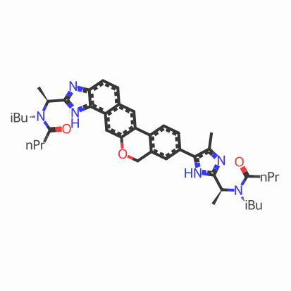 CCCC(=O)N([C@@H](C)CC)[C@@H](C)c1nc(C)c(-c2ccc3c(c2)COc2cc4c(ccc5nc([C@H](C)N(C(=O)CCC)[C@@H](C)CC)[nH]c54)cc2-3)[nH]1